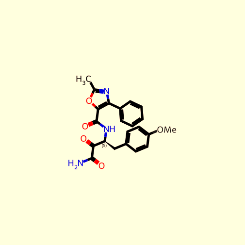 COc1ccc(C[C@H](NC(=O)c2oc(C)nc2-c2ccccc2)C(=O)C(N)=O)cc1